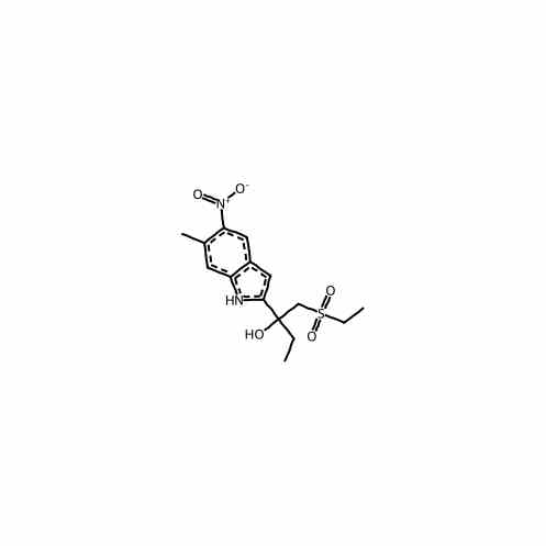 CCC(O)(CS(=O)(=O)CC)c1cc2cc([N+](=O)[O-])c(C)cc2[nH]1